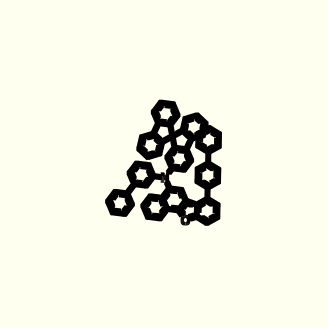 c1ccc(-c2ccc(-c3cccc4oc5c6ccccc6c(N(c6cccc(-c7ccccc7)c6)c6ccc7c(c6)C6(c8ccccc8-c8ccccc86)c6ccccc6-7)cc5c34)cc2)cc1